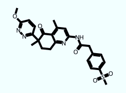 COc1ccc(C2(C)CCc3nc(NC(=O)Cc4ccc(S(C)(=O)=O)cc4)cc(C)c3C2=O)nn1